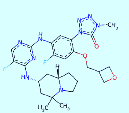 Cn1nnn(-c2cc(Nc3ncc(F)c(N[C@@H]4C[C@@H]5CCCN5C(C)(C)C4)n3)c(F)cc2OCC2COC2)c1=O